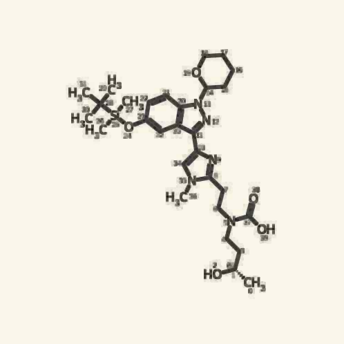 C[C@H](O)CCN(CCc1nc(-c2nn(C3CCCCO3)c3ccc(O[Si](C)(C)C(C)(C)C)cc23)cn1C)C(=O)O